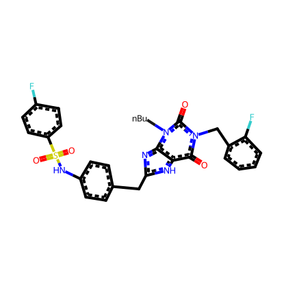 CCCCn1c(=O)n(Cc2ccccc2F)c(=O)c2[nH]c(Cc3ccc(NS(=O)(=O)c4ccc(F)cc4)cc3)nc21